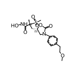 COCCc1ccc(N2C[C@H](C[C@](C)(C(=O)NO)S(C)(=O)=O)OC2=O)cc1